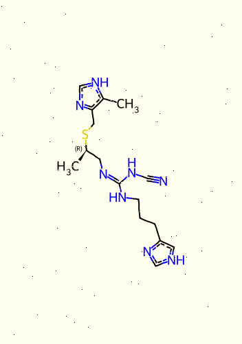 Cc1[nH]cnc1CS[C@H](C)CN=C(NC#N)NCCCc1c[nH]cn1